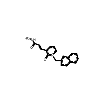 O=C(/C=C/c1cccn(Cc2ccc3ccccc3c2)c1=O)NO